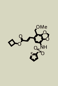 COCc1c(/C=C/C(=O)OC2CCC2)cc(NS(=O)(=O)c2cccs2)c2c1OCO2